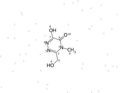 Cn1c(CO)nnc(O)c1=O